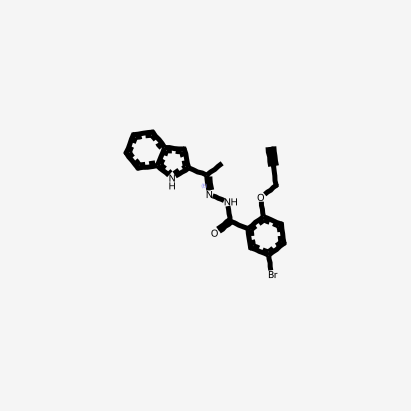 C#CCOc1ccc(Br)cc1C(=O)N/N=C(\C)c1cc2ccccc2[nH]1